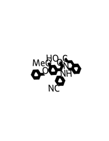 COc1cc(C(Nc2ccc(C#N)cc2)C(=O)N2Cc3ccccc3CC2C(=O)O)ccc1OCc1ccccc1